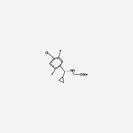 COCN[C@@H](c1cc(F)c(Cl)cc1F)C1CC1